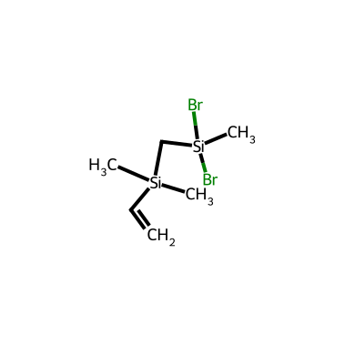 C=C[Si](C)(C)C[Si](C)(Br)Br